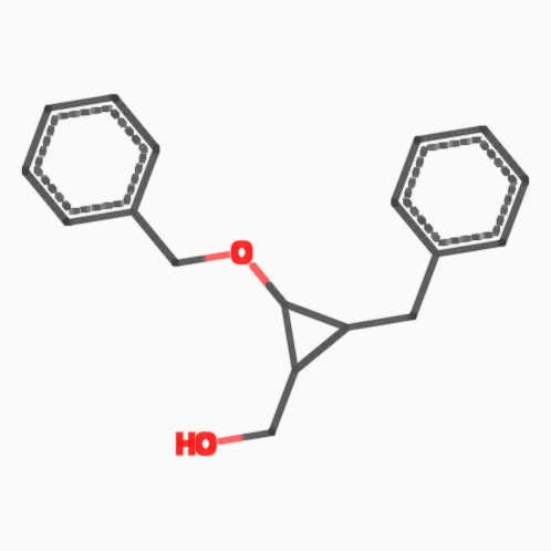 OCC1C(Cc2ccccc2)C1OCc1ccccc1